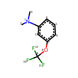 CN(C)c1[c]ccc(OC(F)(F)F)c1